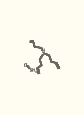 C=CCC[SiH](CCC=C)CCC=C.[SiH3]Cl